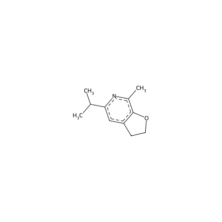 Cc1nc(C(C)C)cc2c1OCC2